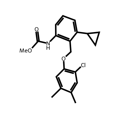 COC(=O)Nc1cccc(C2CC2)c1COc1cc(C)c(C)cc1Cl